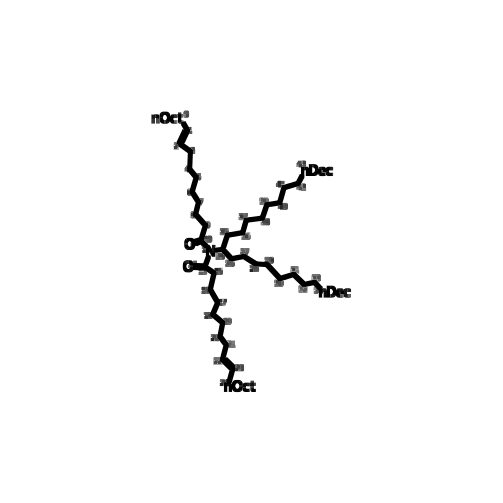 CCCCCCCCC=CCCCCCCCC(=O)N(C(=O)CCCCCCCC=CCCCCCCCC)C(CCCCCCCCCCCCCCCCCC)CCCCCCCCCCCCCCCCCC